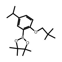 CC(C)c1ccc(OCC(C)(C)C)c(B2OC(C)(C)C(C)(C)O2)c1